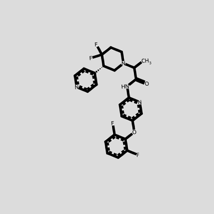 CC(C(=O)Nc1ccc(Oc2c(F)cccc2F)cn1)N1CCC(F)(F)[C@@H](c2ccncc2)C1